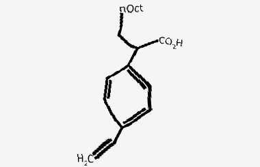 C=Cc1ccc(C(CCCCCCCCC)C(=O)O)cc1